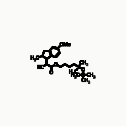 COc1ccc2c(c1)CC(C)C2=C(C#N)C(=O)OCCCC[Si](C)(C)O[Si](C)(C)C